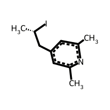 Cc1cc(C[C@H](C)I)cc(C)n1